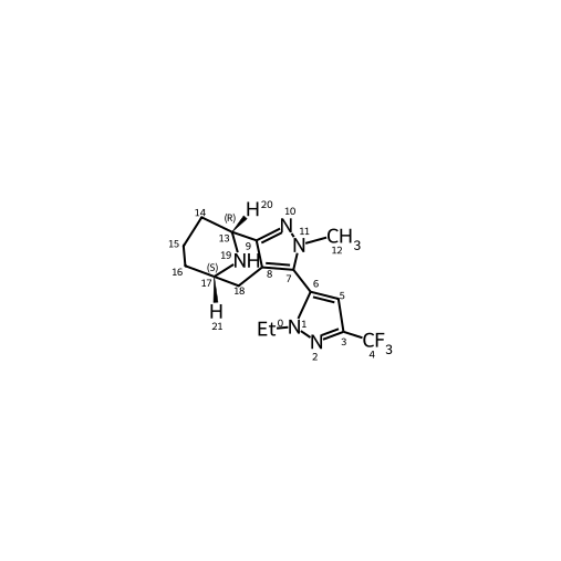 CCn1nc(C(F)(F)F)cc1-c1c2c(nn1C)[C@H]1CCC[C@@H](C2)N1